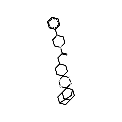 O=C(CC1CCC2(CC1)OOC1(OO2)C2CC3CC(C2)CC1C3)N1CCN(c2ccccc2)CC1